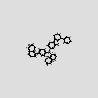 c1ccc(-c2cccc3c2oc2cc(N(c4ccc(-c5cccc6ccccc56)cc4)c4cccc5ccccc45)ccc23)cc1